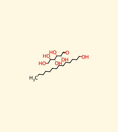 CCCCCCCCCCCCCCO.O=C[C@H](O)[C@@H](O)[C@H](O)[C@H](O)CO